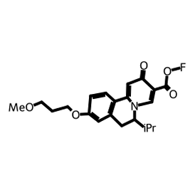 COCCCOc1ccc2c(c1)CC(C(C)C)n1cc(C(=O)OF)c(=O)cc1-2